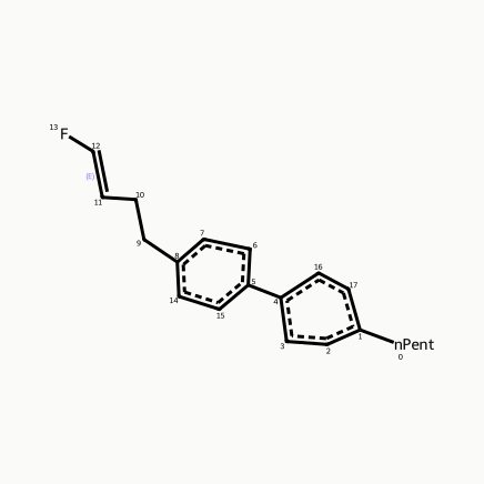 CCCCCc1ccc(-c2ccc(CC/C=C/F)cc2)cc1